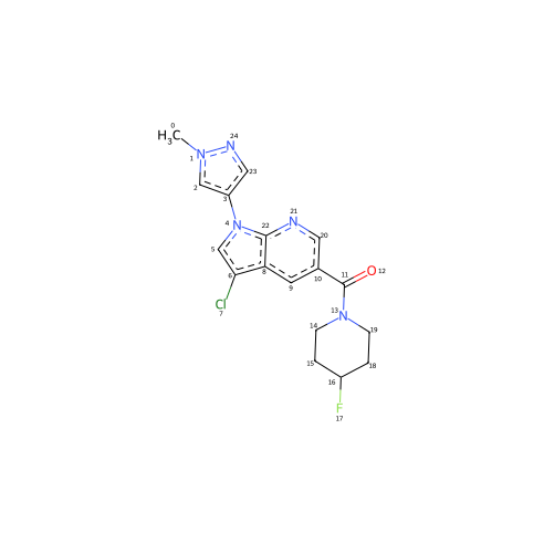 Cn1cc(-n2cc(Cl)c3cc(C(=O)N4CCC(F)CC4)cnc32)cn1